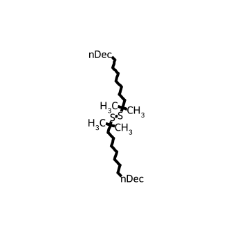 CCCCCCCCCCCCCCCCCC(C)(C)SSC(C)(C)CCCCCCCCCCCCCCCCC